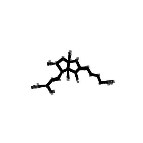 CCCCC[C@H](O)C=C[C@@H]1[C@H]2C(F)C(=CCCCC(=O)O)O[C@H]2C[C@H]1O